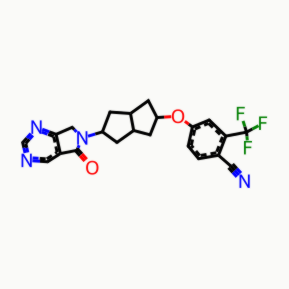 N#Cc1ccc(OC2CC3CC(N4Cc5ncncc5C4=O)CC3C2)cc1C(F)(F)F